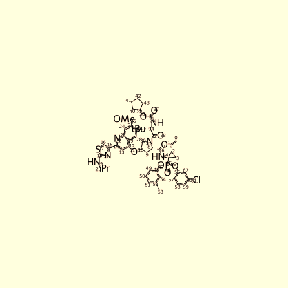 C=C[C@@H]1C[C@]1(NC(=O)[C@@H]1C[C@@H](Oc2cc(-c3csc(NC(C)C)n3)nc3cc(OC)ccc23)CN1C(=O)[C@@H](NC(=O)OC1CCCC1)C(C)(C)C)P(=O)(Oc1cccc(C)c1)Oc1cccc(Cl)c1